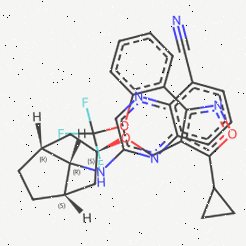 N#Cc1cccc2nc(N[C@H]3[C@@H]4CC[C@H]3C[C@H](OCc3c(-c5ccccc5OC(F)(F)F)noc3C3CC3)C4)cnc12